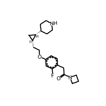 O=C(Cc1ccc(OCC[C@@H]2C[C@@H]2C2CCNCC2)cc1F)N1CCC1